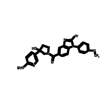 COc1ccc(C2(O)CCN(C(=O)c3ccc4c(c3)nc(C(C)C)n4-c3ccc(OC(F)(F)F)cc3)C2)cn1